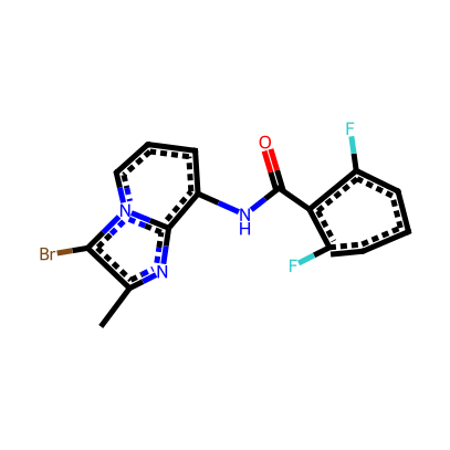 Cc1nc2c(NC(=O)c3c(F)cccc3F)cccn2c1Br